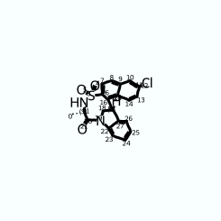 C[C@@H]1NS(=O)(=O)c2ccc3cc(Cl)ccc3c2[C@H]2CN(C1=O)c1ccccc12